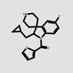 O=C(c1cccs1)N1c2ccc(F)cc2C2(CCNCC2)C1CC1CC1